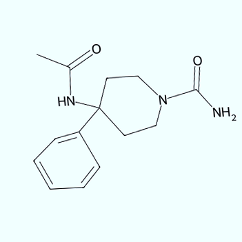 CC(=O)NC1(c2ccccc2)CCN(C(N)=O)CC1